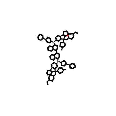 C=Cc1ccc(CC2(c3ccc(C)cc3)c3ccccc3-c3ccc(N(c4ccc(-c5ccccc5)cc4)c4ccc(-c5ccc(N(c6ccc(-c7ccccc7)cc6)c6ccc7c(c6)C(Cc6ccc(C=C)cc6)(c6ccc(C)cc6)c6ccccc6-7)c6ccccc56)c5ccccc45)cc32)cc1